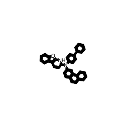 C1=CC(N(c2ccc(-c3ccccc3)cc2)c2ccc3ccc4ccccc4c3c2)Nc2oc3ccccc3c21